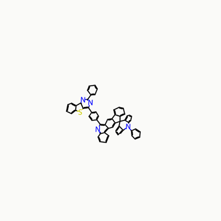 c1ccc(-c2nc(-c3ccc(-c4nc5ccccc5c5cc6c(cc45)-c4ccccc4C64c5ccccc5N(c5ccccc5)c5ccccc54)cc3)c3sc4ccccc4c3n2)cc1